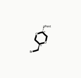 CCCCC[C@@H]1CO[C@@H](CBr)CO1